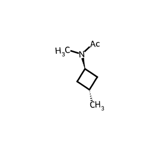 CC(=O)N(C)[C@H]1C[C@H](C)C1